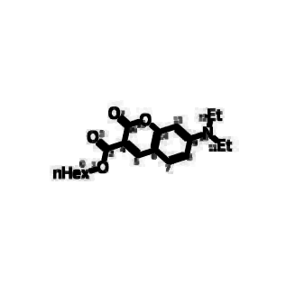 CCCCCCOC(=O)c1cc2ccc(N(CC)CC)cc2oc1=O